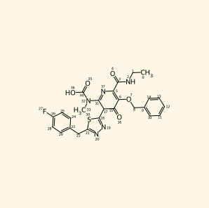 CCNC(=O)C1=C(OCc2ccccc2)C(=O)C(c2nnc(Cc3ccc(F)cc3)s2)C(N(C)C(=O)O)=N1